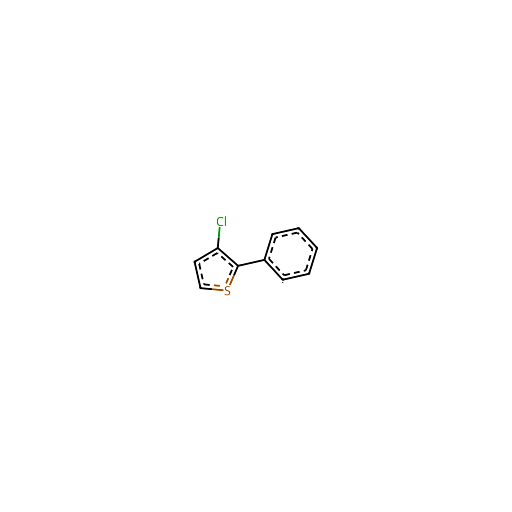 Clc1ccsc1-c1[c]cccc1